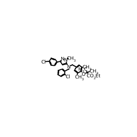 CCOC(=O)C(C)(C)Oc1c(C)cc(CN(Cc2ccccc2Cl)c2cc(-c3ccc(Cl)cc3)nn2C)cc1C